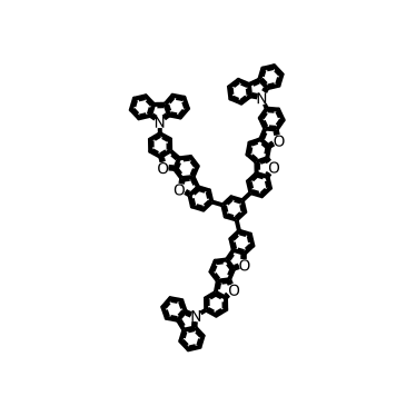 c1ccc2c(c1)c1ccccc1n2-c1ccc2oc3c(ccc4c5cc(-c6cc(-c7ccc8oc9c(ccc%10c%11cc(-n%12c%13ccccc%13c%13ccccc%13%12)ccc%11oc%109)c8c7)cc(-c7ccc8oc9c(ccc%10c%11cc(-n%12c%13ccccc%13c%13ccccc%13%12)ccc%11oc%109)c8c7)c6)ccc5oc43)c2c1